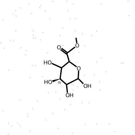 COC(=O)C1OC(O)C(O)[C@@H](O)C1O